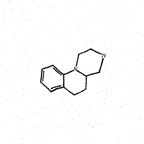 c1ccc2c(c1)CCC1C[N]CCN21